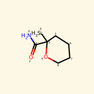 NC(=O)C1([SiH3])CCCCO1